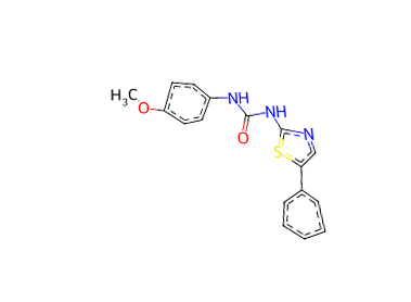 COc1ccc(NC(=O)Nc2ncc(-c3ccccc3)s2)cc1